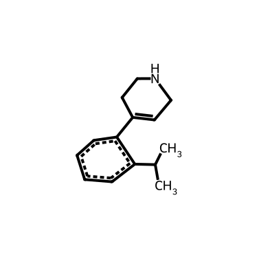 CC(C)c1ccccc1C1=CCNCC1